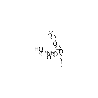 CCCCCCC(Oc1ccc(OCc2ccc(C(C)(C)C)cc2)cc1)c1ccc(C(=O)NCCC(=O)O)cc1